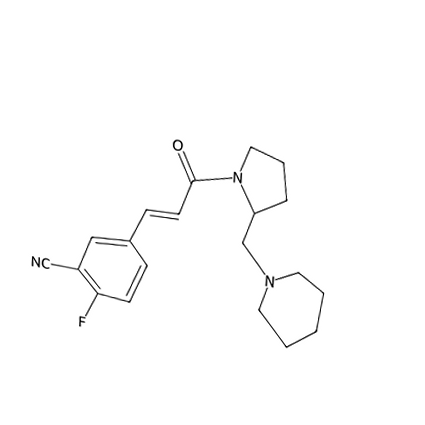 N#Cc1cc(C=CC(=O)N2CCCC2CN2CCCCC2)ccc1F